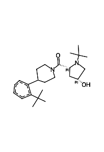 CC(C)(C)c1ccccc1C1CCN(C(=O)[C@H]2C[C@@H](O)CN2C(C)(C)C)CC1